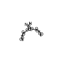 C=CC(=O)OCC(C)(C)COC(=O)CCCOc1cc(C)c(OCCCC(=O)OCC(C)(C)COC(=O)C=C)c2c1SC(=C(C#N)C#N)S2